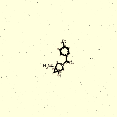 CCc1ccc(C(=O)N2C[C@@H]3C[C@]3(N)C2)cc1